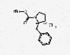 C[C@H]1CCN(C(=O)OC(C)(C)C)[C@@H]1Cc1ccccc1